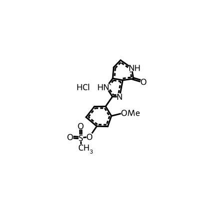 COc1cc(OS(C)(=O)=O)ccc1-c1nc2c(=O)[nH]ccc2[nH]1.Cl